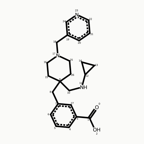 O=C(O)c1cccc(CC2(CNC3CC3)CCN(Cc3cccnc3)CC2)c1